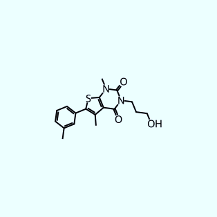 Cc1cccc(-c2sc3c(c2C)c(=O)n(CCCO)c(=O)n3C)c1